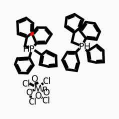 [O]=[Mn](=[O])([Cl])([Cl])([O]Cl)[O]Cl.c1ccc(C[PH](c2ccccc2)(c2ccccc2)c2ccccc2)cc1.c1ccc(C[PH](c2ccccc2)(c2ccccc2)c2ccccc2)cc1